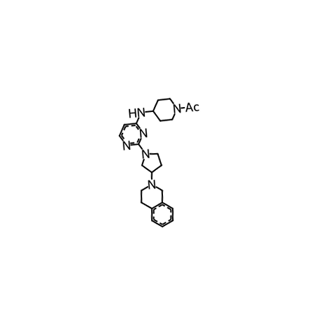 CC(=O)N1CCC(Nc2ccnc(N3CCC(N4CCc5ccccc5C4)C3)n2)CC1